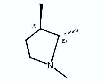 C[C@@H]1CCN(C)[C@H]1C